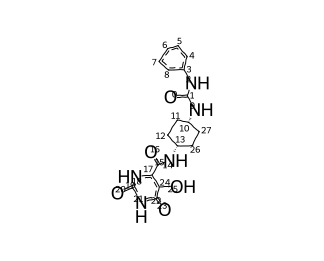 O=C(Nc1ccccc1)N[C@H]1CC[C@@H](NC(=O)c2[nH]c(=O)[nH]c(=O)c2O)CC1